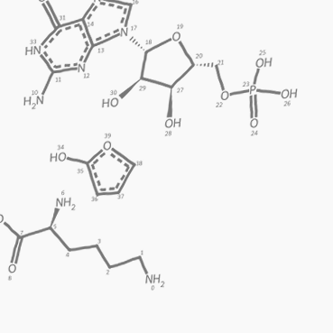 NCCCC[C@H](N)C(=O)O.Nc1nc2c(ncn2[C@@H]2O[C@H](COP(=O)(O)O)[C@@H](O)[C@H]2O)c(=O)[nH]1.Oc1ccco1